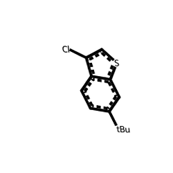 CC(C)(C)c1ccc2c(Cl)csc2c1